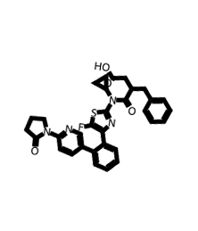 O=C(O)CC(Cc1ccccc1)C(=O)N(c1nc(-c2ccccc2-c2ccc(N3CCCC3=O)nc2)c(F)s1)C1CC1